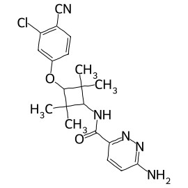 CC1(C)C(NC(=O)c2ccc(N)nn2)C(C)(C)C1Oc1ccc(C#N)c(Cl)c1